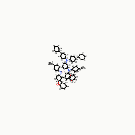 CC(C)(C)c1ccc(N2B3c4ccc(N(c5ccc(-c6ccccc6)cc5)c5ccc(-c6ccccc6)cc5)cc4N(c4ccc(C(C)(C)C)cc4-c4ccccc4)c4cc(C(C)(C)C)cc(c43)-c3c2ccc2oc4ccccc4c32)cc1